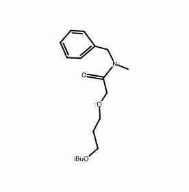 CC(C)COCCCOCC(=O)N(C)Cc1ccccc1